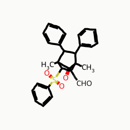 CC12C(=O)C(C)(C(c3ccccc3)C1c1ccccc1)C(S(=O)(=O)c1ccccc1)C2C=O